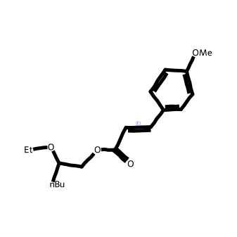 CCCCC(COC(=O)/C=C/c1ccc(OC)cc1)OCC